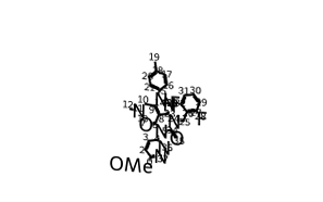 COc1ccc(-n2c(=O)c3c(CN(C)C)n(-c4ccc(C)cc4)nc3n(Cc3c(F)cccc3F)c2=O)nn1